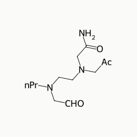 CCCN(CC=O)CCN(CC(C)=O)CC(N)=O